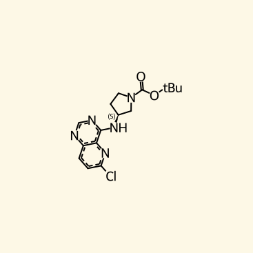 CC(C)(C)OC(=O)N1CC[C@H](Nc2ncnc3ccc(Cl)nc23)C1